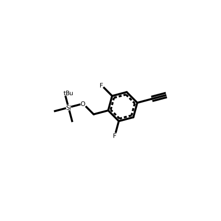 C#Cc1cc(F)c(CO[Si](C)(C)C(C)(C)C)c(F)c1